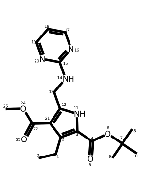 CCc1c(C(=O)OC(C)(C)C)[nH]c(CNc2ncccn2)c1C(=O)OC